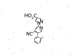 Cc1ccccc1-c1cnc(-n2cc(C(=O)O)cn2)cc1C#N